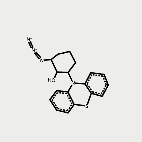 [N-]=[N+]=NC1CCCC(N2c3ccccc3Sc3ccccc32)C1O